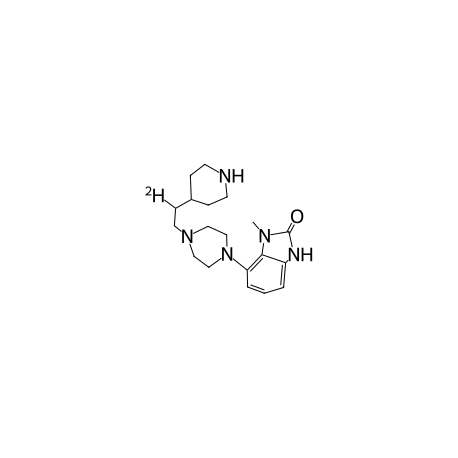 [2H]C(CN1CCN(c2cccc3[nH]c(=O)n(C)c23)CC1)C1CCNCC1